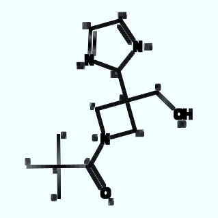 CC(C)(C)C(=O)N1CC(CO)(C2N=CC=N2)C1